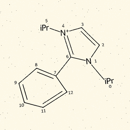 CC(C)n1cc[n+](C(C)C)c1-c1ccccc1